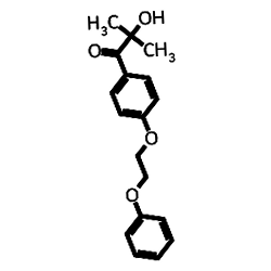 CC(C)(O)C(=O)c1ccc(OCCOc2ccccc2)cc1